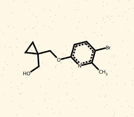 Cc1nc(OCC2(CO)CC2)ccc1Br